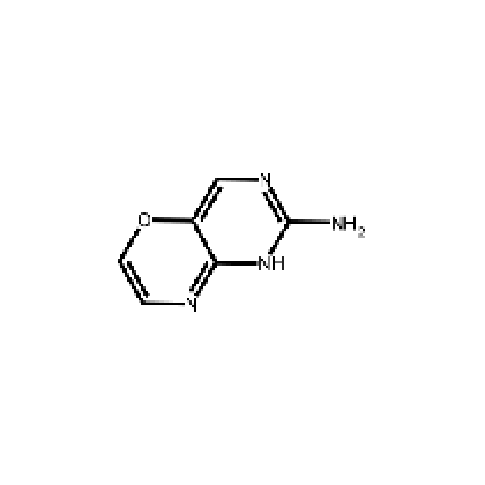 NC1=NC=C2OC=CN=C2N1